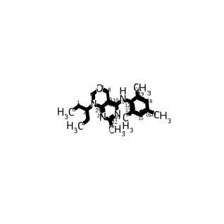 CCC(CC)N1COCc2c(Nc3c(C)cc(C)cc3C)nc(C)nc21